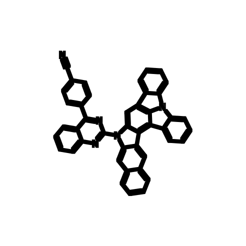 N#Cc1ccc(-c2nc(-n3c4cc5ccccc5cc4c4c5c6ccccc6n6c7ccccc7c(cc43)c56)nc3ccccc23)cc1